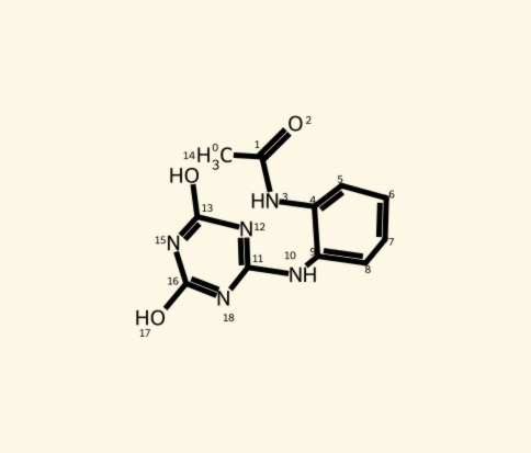 CC(=O)Nc1ccccc1Nc1nc(O)nc(O)n1